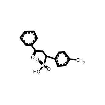 Cc1ccc(C(CC(=O)c2ccccc2)S(=O)(=O)O)cc1